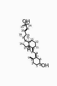 C=C1CC[C@H](O)C/C1=C/C=C1\CCC[C@]2(C)[C@@H]([C@H](C)C/C=C/C(C)(C)O)CC[C@@H]12